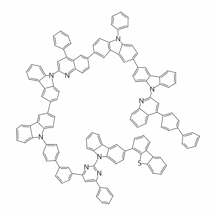 c1ccc(-c2ccc(-c3cc(-n4c5ccccc5c5cc(-c6ccc7c(c6)c6cc(-c8ccc9nc(-n%10c%11ccccc%11c%11cc(-c%12ccc%13c(c%12)c%12ccccc%12n%13-c%12ccc(-c%13cccc(-c%14cc(-c%15ccccc%15)nc(-n%15c%16ccccc%16c%16cc(-c%17cccc%18c%17sc%17ccccc%17%18)ccc%16%15)n%14)c%13)cc%12)ccc%11%10)cc(-c%10ccccc%10)c9c8)ccc6n7-c6ccccc6)ccc54)nc4ccccc34)cc2)cc1